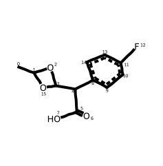 CC1OC(C(C(=O)O)c2ccc(F)cc2)O1